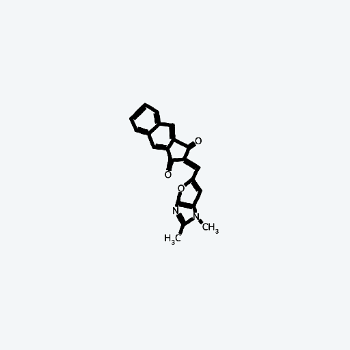 Cc1nc2oc(C=C3C(=O)c4cc5ccccc5cc4C3=O)cc2n1C